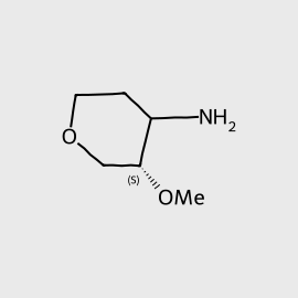 CO[C@@H]1COCCC1N